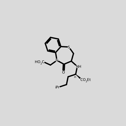 CCOC(=O)[C@@H](CCC(C)C)NC1CSc2ccccc2N(CC(=O)O)C1=O